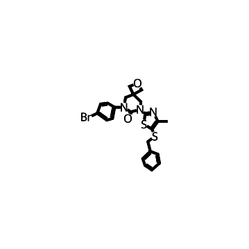 Cc1nc(N2CC3(COC3)CN(c3ccc(Br)cc3)C2=O)sc1SCc1ccccc1